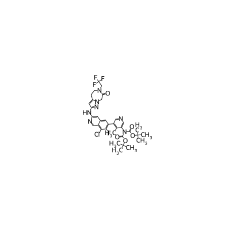 Cc1c(-c2cc3cc(Nc4cc5n(n4)CC(=O)N(CC(F)(F)F)CC5)ncc3c(Cl)c2F)cncc1N(C(=O)OC(C)(C)C)C(=O)OC(C)(C)C